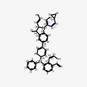 C=Cc1cccc(N(c2ccccc2)C2C=CC(c3ccc4c(c3)C(C)C(C=CC)N4C(/C=C\C3CC3)=C/C)=CC2)c1/C=C\C